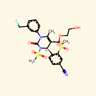 CC1=C(C(=O)OCCO)[C@@H](c2ccc(C#N)cc2S(C)(=O)=O)N(S(C)(=O)=O)C(=O)N1c1cccc(CF)c1